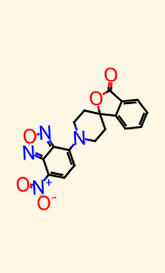 O=C1OC2(CCN(c3ccc([N+](=O)[O-])c4nonc34)CC2)c2ccccc21